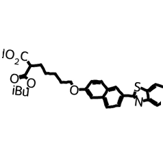 CCC(C)OC(=O)C(CCCCCOc1ccc2cc(-c3nc4ccccc4s3)ccc2c1)C(=O)O